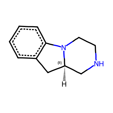 c1ccc2c(c1)C[C@@H]1CNCCN21